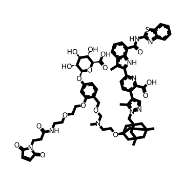 Cc1c(-c2ccc(-c3cnn(CC45CC6(C)CC(C)(C4)CC(OCCN(C)COCc4ccc(O[C@@H]7O[C@H](C(=O)O)[C@@H](O)[C@H](O)[C@H]7O)cc4OCCOCCNC(=O)CCN4C(=O)C=CC4=O)(C6)C5)c3C)c(C(=O)O)n2)[nH]c2c(C(=O)Nc3nc4ccccc4s3)cccc12